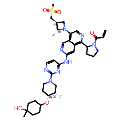 C=CC(=O)N1CCCC1c1ncc(N2C[C@H](CS(C)(=O)=O)[C@H]2C)c2cnc(Nc3ccnc(N4CC[C@@H](OC5CCC(C)(O)CC5)[C@@H](F)C4)n3)cc12